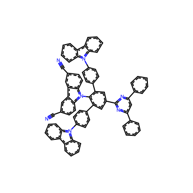 N#Cc1ccc2c(c1)c1cc(C#N)ccc1n2-c1c(-c2ccc(-n3c4ccccc4c4ccccc43)cc2)cc(-c2nc(-c3ccccc3)cc(-c3ccccc3)n2)cc1-c1ccc(-n2c3ccccc3c3ccccc32)cc1